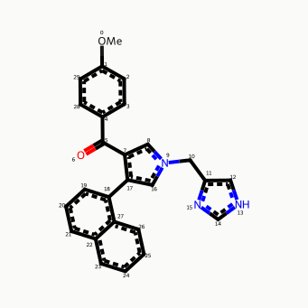 COc1ccc(C(=O)c2cn(Cc3c[nH]cn3)cc2-c2cccc3ccccc23)cc1